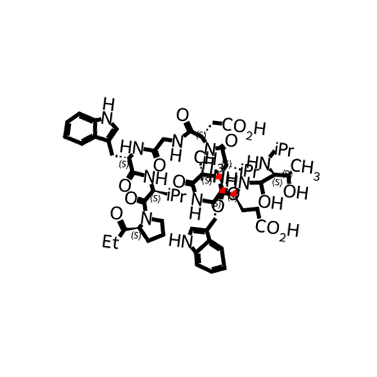 CCC(=O)[C@@H]1CCCN1C(=O)[C@@H](NC(=O)[C@H](Cc1c[nH]c2ccccc12)NC(=O)CNC(=O)[C@H](CC(=O)O)NC(=O)[C@@H](NC(=O)[C@H](Cc1c[nH]c2ccccc12)NC(=O)[C@H](C)NC(=O)[C@H](CCC(=O)O)NC(O)[C@@H](NC(C)C)[C@@H](C)O)C(C)C)C(C)C